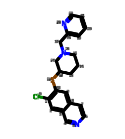 Clc1cc2cnccc2cc1SC1CCCN(Cc2ccccn2)C1